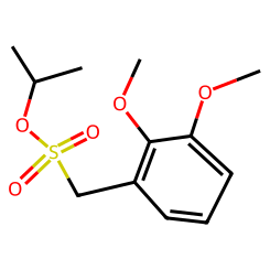 COc1cccc(CS(=O)(=O)OC(C)C)c1OC